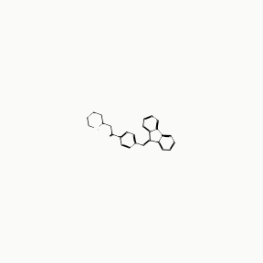 O=C(CC1CCCCN1)c1ccc(C=C2c3ccccc3-c3ccccc32)cc1